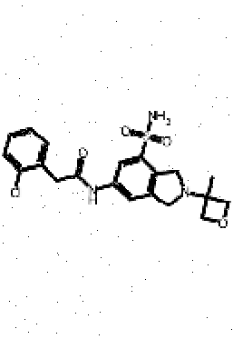 CC1(N2Cc3cc(NC(=O)Cc4ccccc4Cl)cc(S(N)(=O)=O)c3C2)COC1